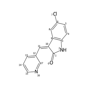 O=C1Nc2ccc(Cl)cc2C1=Cc1cccnc1